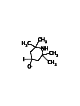 CC1(C)CC([O])(I)CC(C)(C)N1